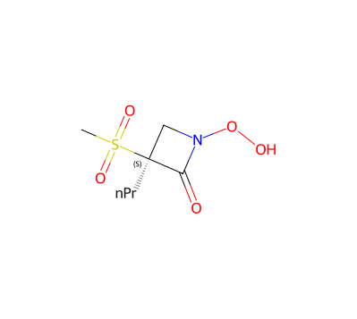 CCC[C@]1(S(C)(=O)=O)CN(OO)C1=O